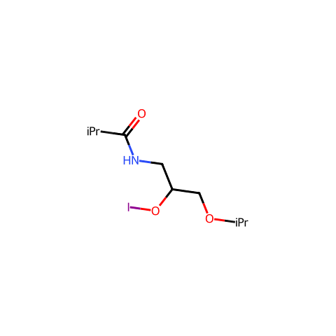 CC(C)OCC(CNC(=O)C(C)C)OI